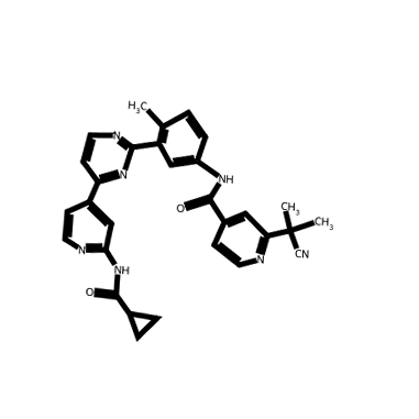 Cc1ccc(NC(=O)c2ccnc(C(C)(C)C#N)c2)cc1-c1nccc(-c2ccnc(NC(=O)C3CC3)c2)n1